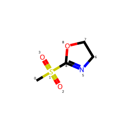 CS(=O)(=O)C1=NCCO1